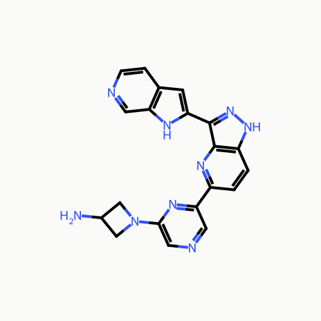 NC1CN(c2cncc(-c3ccc4[nH]nc(-c5cc6ccncc6[nH]5)c4n3)n2)C1